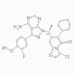 CC(C)Oc1ccc(-c2nn([C@@H](C)c3cc4scc(Cl)n4c(=O)c3-c3ccccc3)c3ncnc(N)c23)cc1F